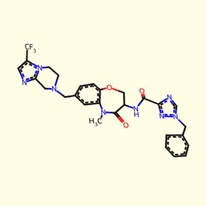 CN1C(=O)C(NC(=O)c2ncn(Cc3ccccc3)n2)COc2ccc(CN3CCn4c(C(F)(F)F)cnc4C3)cc21